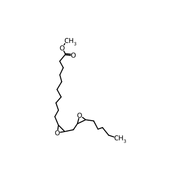 CCCCCC1OC1CC1OC1CCCCCCCCCC(=O)OC